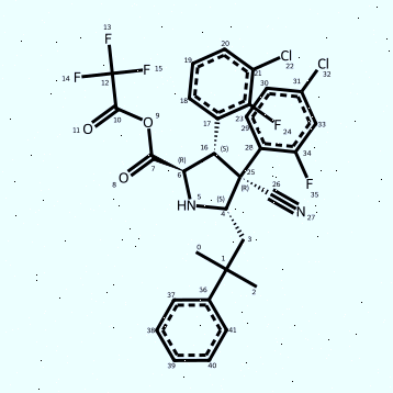 CC(C)(C[C@@H]1N[C@@H](C(=O)OC(=O)C(F)(F)F)[C@H](c2cccc(Cl)c2F)[C@@]1(C#N)c1ccc(Cl)cc1F)c1ccccc1